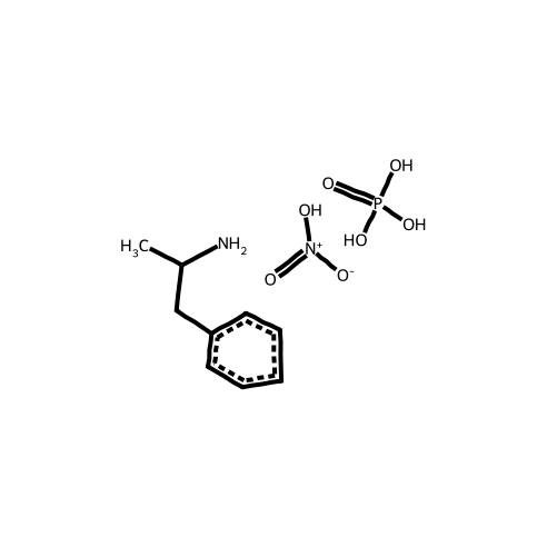 CC(N)Cc1ccccc1.O=P(O)(O)O.O=[N+]([O-])O